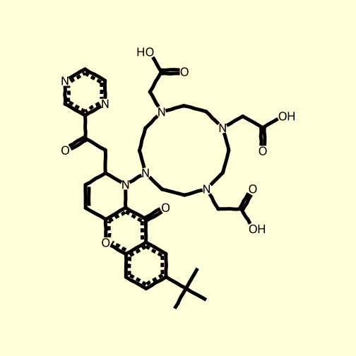 CC(C)(C)c1ccc2oc3c(c(=O)c2c1)N(N1CCN(CC(=O)O)CCN(CC(=O)O)CCN(CC(=O)O)CC1)C(CC(=O)c1cnccn1)C=C3